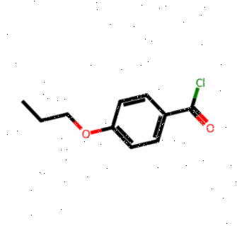 CCCOc1ccc(C(=O)Cl)cc1